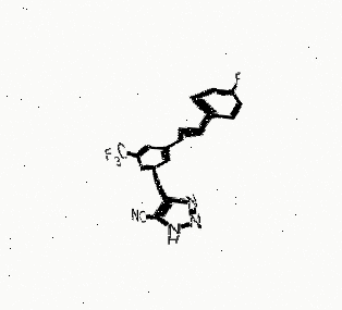 N#Cc1[nH]nnc1-c1cc(/C=C/c2ccc(F)cc2)cc(C(F)(F)F)c1